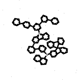 c1ccc(-c2ccc(-c3cc(-c4cccc(-c5ccccc5)c4)cc(-n4c5ccccc5c5cc(-c6ccccc6-c6cccc(N(c7ccc8c(c7)C7(c9ccccc9-c9ccccc97)c7ccccc7-8)c7cccc8ccccc78)c6)ccc54)c3)cc2)cc1